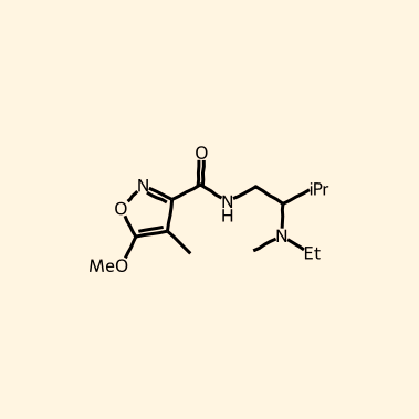 CCN(C)C(CNC(=O)c1noc(OC)c1C)C(C)C